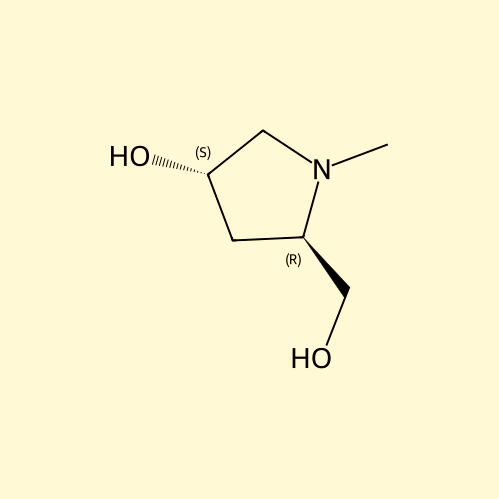 CN1C[C@@H](O)C[C@@H]1CO